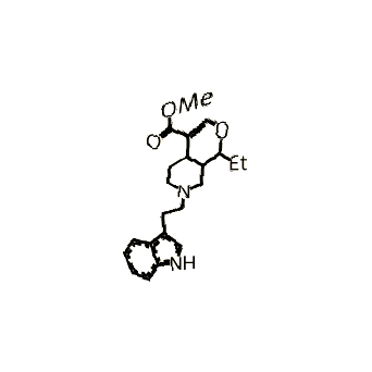 CCC1OC=C(C(=O)OC)C2CCN(CCc3c[nH]c4ccccc34)CC12